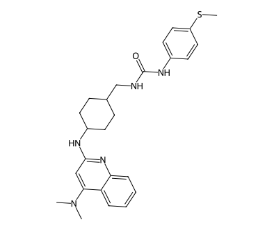 CSc1ccc(NC(=O)NCC2CCC(Nc3cc(N(C)C)c4ccccc4n3)CC2)cc1